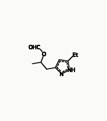 CCc1cc(CC(C)OC=O)n[nH]1